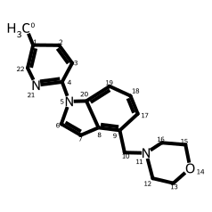 Cc1ccc(-n2ccc3c(CN4CCOCC4)cccc32)nc1